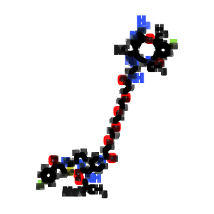 CN[C@@H](C)C(=O)N[C@H](C(=O)N1CCC[C@H]1C1=NC(C(=O)c2ccc(F)cc2)CS1)C1CCN(C(=O)CCOCCOCCOCCOCCC(=O)NCCn2nc(C#N)c3c2CN(C)C(=O)c2ccc(F)cc2[C@@H](C)Oc2cc-3cnc2N)CC1